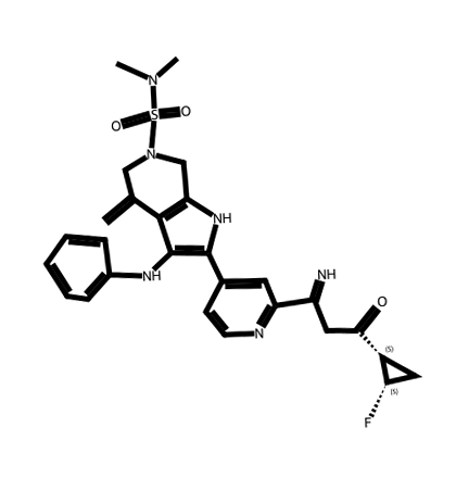 C=C1CN(S(=O)(=O)N(C)C)Cc2[nH]c(-c3ccnc(C(=N)CC(=O)[C@@H]4C[C@@H]4F)c3)c(Nc3ccccc3)c21